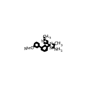 COc1cccc(-c2cccc(C3(c4cnn(C)c4)N=C(C)C(N)=N3)c2)c1